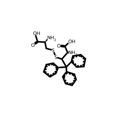 N[C@H](C(=O)O)C(SSC[C@H](N)C(=O)O)C(c1ccccc1)(c1ccccc1)c1ccccc1